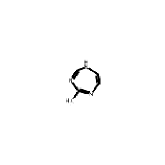 CC1=NC=CNC=N1